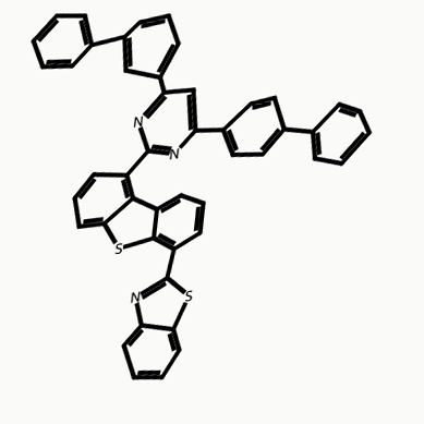 c1ccc(-c2ccc(-c3cc(-c4cccc(-c5ccccc5)c4)nc(-c4cccc5sc6c(-c7nc8ccccc8s7)cccc6c45)n3)cc2)cc1